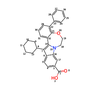 O=C(O)c1ccc2c(C3CCCCC3)c3n(c2c1)CCOc1c(-c2ccccc2)cccc1-3